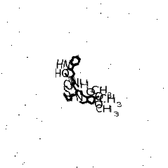 COc1cc2c(c(OC)c1OC)-c1cc(C(=O)N[C@@H](CO)Cc3c[nH]c4ccccc34)c(-c3cccs3)n1CC2